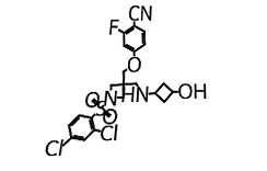 N#Cc1ccc(OCC2(CNC3CC(O)C3)CN(S(=O)(=O)c3ccc(Cl)cc3Cl)C2)cc1F